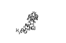 COC(=O)c1cnc(C2CCN(c3noc4cccc(C(F)(F)F)c34)CC2)c(Cl)c1